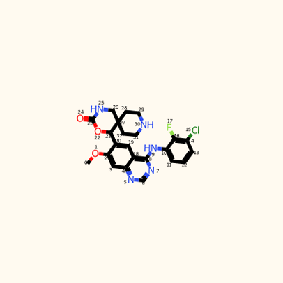 COc1cc2ncnc(Nc3cccc(Cl)c3F)c2cc1C1OC(=O)NCC12CCNCC2